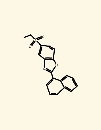 CCS(=O)(=O)c1ccc2oc(-c3cccc4ccccc34)nc2c1